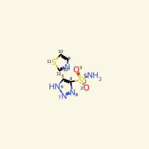 NS(=O)(=O)c1c[nH]nn1.c1cscn1